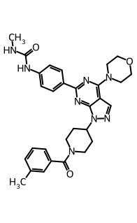 CNC(=O)Nc1ccc(-c2nc(N3CCOCC3)c3cnn(C4CCN(C(=O)c5cccc(C)c5)CC4)c3n2)cc1